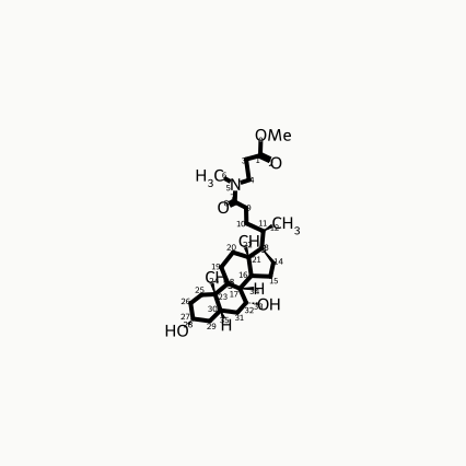 COC(=O)CCN(C)C(=O)CC[C@@H](C)[C@H]1CCC2[C@H]3C(CC[C@@]21C)[C@@]1(C)CC[C@@H](O)C[C@H]1C[C@H]3O